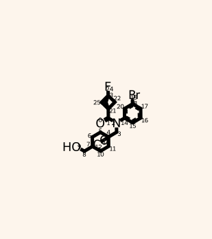 O=C(N(CC12CCC(CO)(CC1)CO2)c1cccc(Br)c1)C12CC(F)(C1)C2